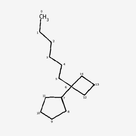 CCCCCCC1(C2CCCC2)CCC1